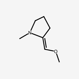 CO/C=C1\CCCN1C